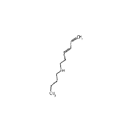 C=C/C=C/CCNCCCC